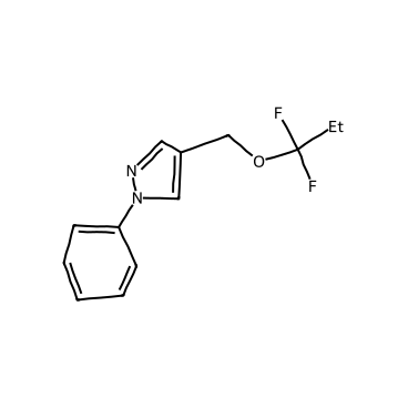 CCC(F)(F)OCc1cnn(-c2ccccc2)c1